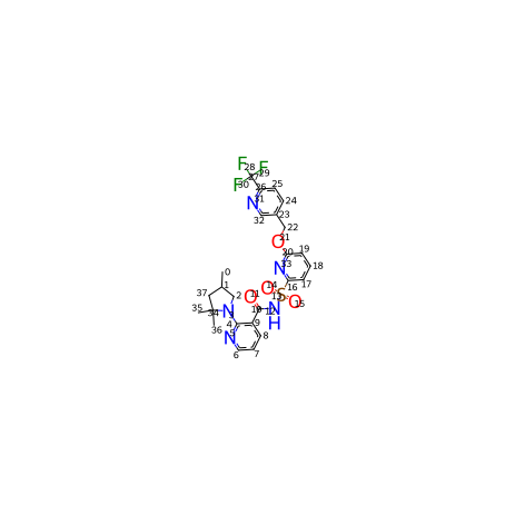 CC1CN(c2ncccc2C(=O)NS(=O)(=O)c2cccc(OCc3ccc(C(F)(F)F)nc3)n2)C(C)(C)C1